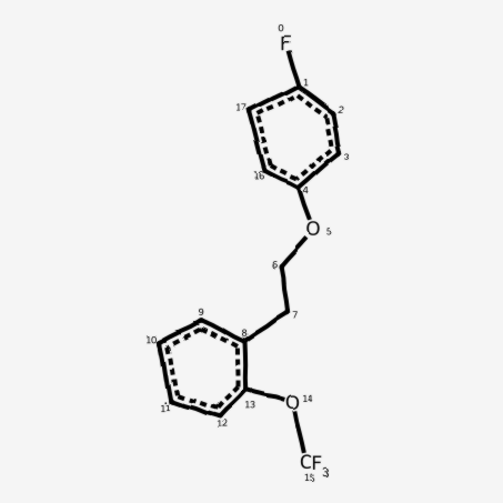 Fc1ccc(OCCc2cc[c]cc2OC(F)(F)F)cc1